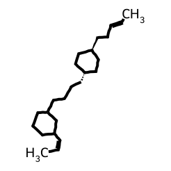 C/C=C\C1CCCC(CCCC[C@H]2CC[C@H](CC/C=C/C)CC2)C1